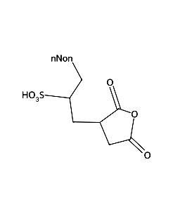 CCCCCCCCCCC(CC1CC(=O)OC1=O)S(=O)(=O)O